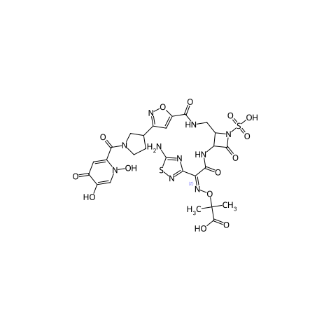 CC(C)(O/N=C(\C(=O)NC1C(=O)N(S(=O)(=O)O)C1CNC(=O)c1cc(C2CCN(C(=O)c3cc(=O)c(O)cn3O)C2)no1)c1nsc(N)n1)C(=O)O